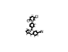 N#Cc1ccc(Cc2cccn2Cc2ccc(-n3cc(Cl)ccc3=O)cc2)cc1